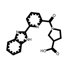 O=C(O)C1CCN(C(=O)c2cccc(-c3nc4ccccc4[nH]3)n2)C1